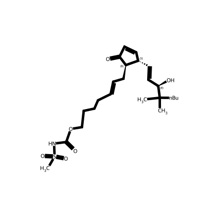 CCCCC(C)(C)[C@H](O)C=C[C@H]1C=CC(=O)[C@@H]1CC=CCCCCOC(=O)NS(C)(=O)=O